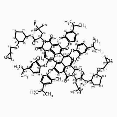 Cc1cc(C(C)C)ccc1Oc1cc2c3c(cc(Oc4ccc(C(C)C)cc4C)c4c5c(Oc6ccc(C(C)C)cc6C)cc6c7c(cc(Oc8ccc(C(C)C)cc8C)c(c1c34)c75)C(=O)N(C(CC(F)(F)F)C(=O)OC1CCCC(OCC3CO3)C1)C6=O)C(=O)N(C(CC(F)(F)F)C(=O)OC1CCCC(OCC3CO3)C1)C2=O